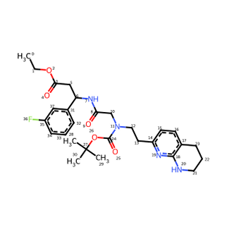 CCOC(=O)CC(NC(=O)CN(CCc1ccc2c(n1)NCCC2)C(=O)OC(C)(C)C)c1cccc(F)c1